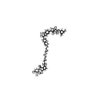 O=C1CCC(N2C(=O)c3cccc(NCCOCCOCCOCCN4CCC5(CC4)CCN(C(=O)c4cc6cc(N7CCC(O)(C(=O)NCc8cc(F)cc(F)c8)C7=O)ccc6[nH]4)CC5)c3C2=O)C(=O)N1